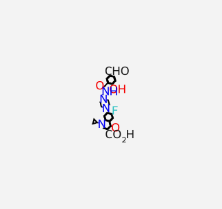 O=Cc1ccc(O)c(C(=O)NCN2CCN(c3cc4c(cc3F)c(=O)c(C(=O)O)cn4C3CC3)CC2)c1